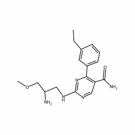 CCc1cccc(-c2nc(NCC(N)COC)ncc2C(N)=O)c1